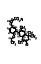 CCN1C(=O)CC(C)(C)c2cc(C)c(-c3cc(C4CC4C(=O)O)ccc3OCC(F)(F)F)cc21